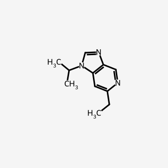 CCc1cc2c(cn1)ncn2C(C)C